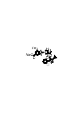 COC(=O)c1cc(OC(C)C)c2nc(N3C[C@@H]4OCC(OCc5c(-c6c(Cl)cccc6Cl)noc5C5CC5)[C@@H]4C3)sc2c1